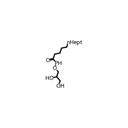 CCCCCCCCCCCC(=O)POCC(O)CO